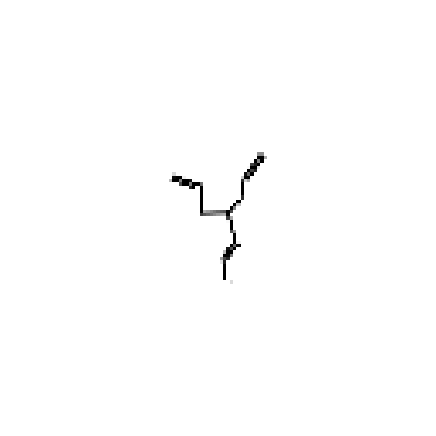 [CH2]/C=C/C(CC=C)CC=C